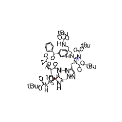 CC(C)(C)OC(=O)/N=C(\NCCCNC(=O)OC(C)(C)C)N(Cc1cnn(C[C@@H]2NC(=O)[C@H]2NC(=O)C(=NOC2(C(=O)OC(c3ccccc3)c3ccccc3)CC2)c2csc(NC(=O)OC(C)(C)C)n2)n1)C(=O)OC(C)(C)C